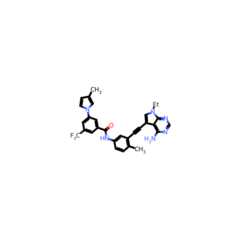 CCn1cc(C#Cc2cc(NC(=O)c3cc(-n4ccc(C)c4)cc(C(F)(F)F)c3)ccc2C)c2c(N)ncnc21